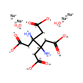 NC(CC(=O)[O-])(CC(=O)[O-])C(N)(CC(=O)[O-])CC(=O)[O-].O.O.[Na+].[Na+].[Na+].[Na+]